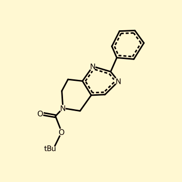 CC(C)(C)OC(=O)N1CCc2nc(-c3ccccc3)ncc2C1